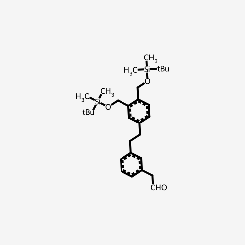 CC(C)(C)[Si](C)(C)OCc1ccc(CCc2cccc(CC=O)c2)cc1CO[Si](C)(C)C(C)(C)C